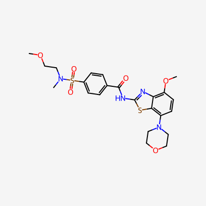 COCCN(C)S(=O)(=O)c1ccc(C(=O)Nc2nc3c(OC)ccc(N4CCOCC4)c3s2)cc1